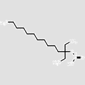 CCCCCCCCCCCC(CC)(CC)O[PH](=O)O